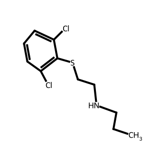 CCCNCCSc1c(Cl)cccc1Cl